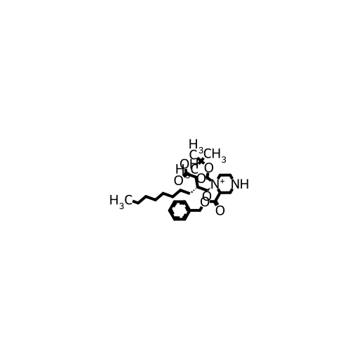 CCCCCCCC[C@H](CC(=O)O)C(=O)[N@+]1(C(=O)OC(C)(C)C)CCNCC1C(=O)OCc1ccccc1